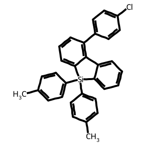 Cc1ccc([Si]2(c3ccc(C)cc3)c3ccccc3-c3c(-c4ccc(Cl)cc4)cccc32)cc1